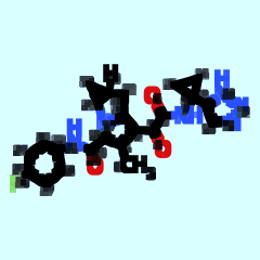 Cc1c(C(=O)C(=O)NC2(c3cnn[nH]3)CC2)c2n(c1C(=O)Nc1ccc(F)cc1)C1C[C@@H]1C2